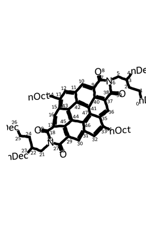 CCCCCCCCCCCCC(CCCCCCCCCC)Cn1c(=O)c2cc3cc(CCCCCCCC)c4cc5c(=O)n(CC(CCCCCCCCCC)CCCCCCCCCCCC)c(=O)c6cc7cc(CCCCCCCC)c8cc(c1=O)c2c1c3c4c(c65)c7c81